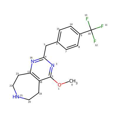 COc1nc(Cc2ccc(C(F)(F)F)cc2)nc2c1CCNCC2